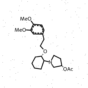 COc1ccc(CCO[C@H]2CCCCC2N2CC[C@H](OC(C)=O)C2)cc1OC